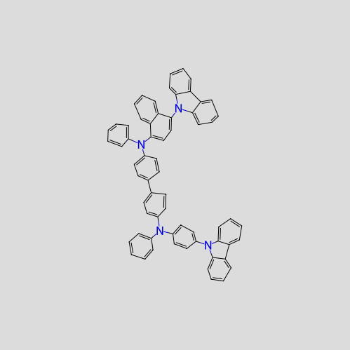 c1ccc(N(c2ccc(-c3ccc(N(c4ccccc4)c4ccc(-n5c6ccccc6c6ccccc65)c5ccccc45)cc3)cc2)c2ccc(-n3c4ccccc4c4ccccc43)cc2)cc1